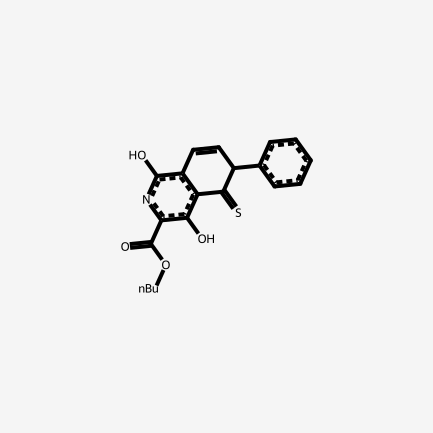 CCCCOC(=O)c1nc(O)c2c(c1O)C(=S)C(c1ccccc1)C=C2